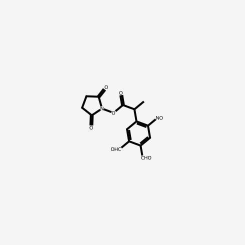 CC(C(=O)ON1C(=O)CCC1=O)c1cc(C=O)c(C=O)cc1N=O